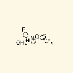 O=CN(c1ccc(F)cc1)c1cccc(Oc2csc(C(F)(F)F)c2)n1